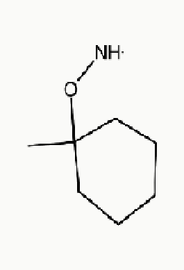 CC1(O[NH])CCCCC1